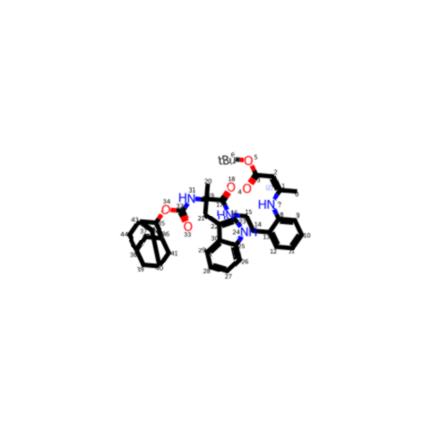 C/C(=C/C(=O)OC(C)(C)C)Nc1ccccc1CCNC(=O)C(C)(Cc1c[nH]c2ccccc12)NC(=O)OC1C2CC3CC(C2)CC1C3